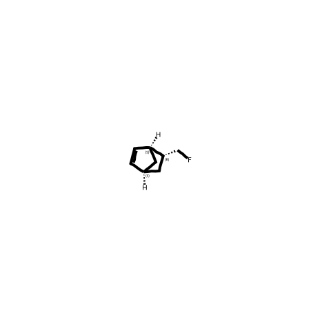 FC[C@@H]1C[C@H]2C=C[C@@H]1C2